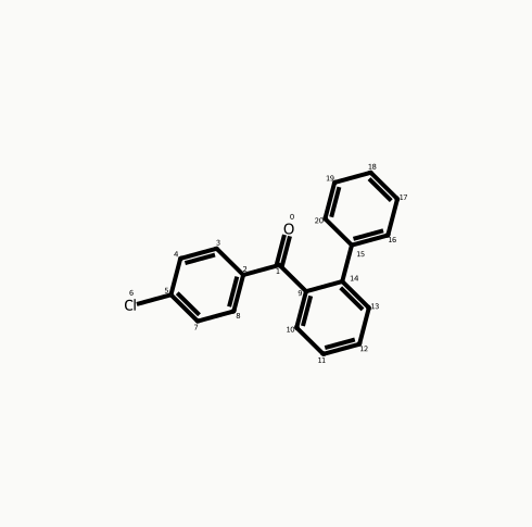 O=C(c1ccc(Cl)cc1)c1ccccc1-c1ccccc1